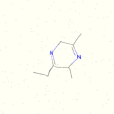 CCC1=NCC(C)=NC1C